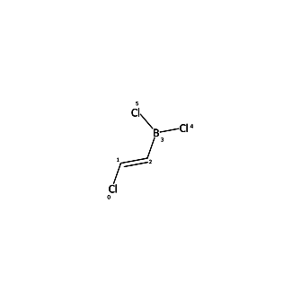 ClC=CB(Cl)Cl